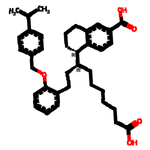 CC(C)c1ccc(COc2ccccc2CC[C@H](CCCCCCC(=O)O)[C@@H]2CCCc3cc(C(=O)O)ccc32)cc1